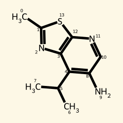 Cc1nc2c(C(C)C)c(N)cnc2s1